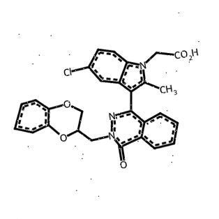 Cc1c(-c2nn(CC3COc4ccccc4O3)c(=O)c3ccccc23)c2cc(Cl)ccc2n1CC(=O)O